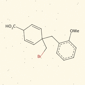 COc1ccccc1CC1(CBr)C=CC(C(=O)O)C=C1